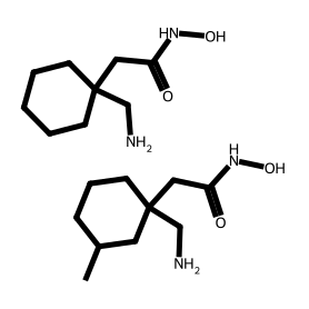 CC1CCCC(CN)(CC(=O)NO)C1.NCC1(CC(=O)NO)CCCCC1